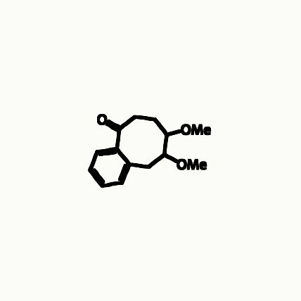 COC1CCC(=O)c2ccccc2CC1OC